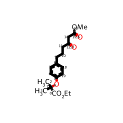 CCOC(=O)C(C)(C)Oc1ccc(CCCC(=O)CC(=O)OC)cc1